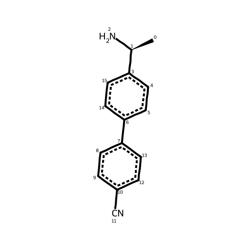 C[C@H](N)c1ccc(-c2ccc(C#N)cc2)cc1